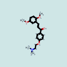 COc1ccc(OC)c(C=CC(=O)c2ccc(OCCN(C)C)cc2)c1